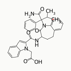 CC(C)C(C(N)=O)(c1ccccc1)N1C(=O)C(NC(=O)c2cc3ccccc3n2CC(=O)O)CCc2ccccc21